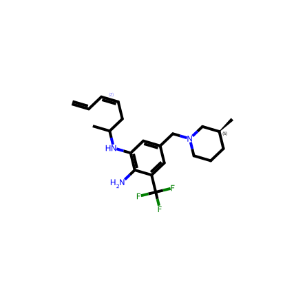 C=C/C=C\CC(C)Nc1cc(CN2CCC[C@H](C)C2)cc(C(F)(F)F)c1N